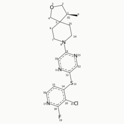 C[C@@H]1COCC12CCN(c1cnc(Sc3ccnc(F)c3Cl)cn1)CC2